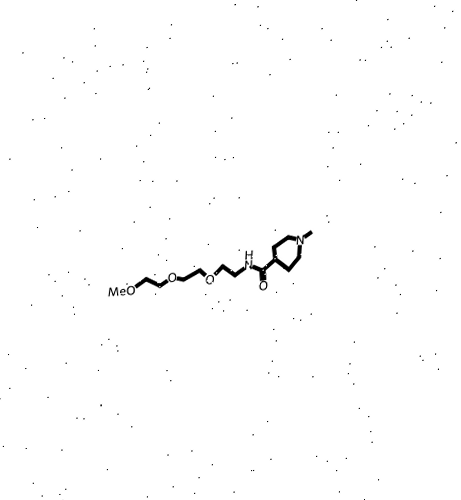 COCCOCCOCCNC(=O)C1CCN(C)CC1